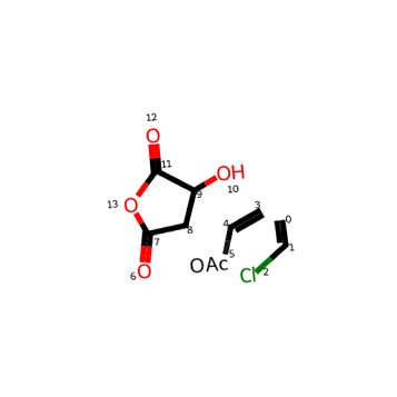 C=CCl.C=COC(C)=O.O=C1CC(O)C(=O)O1